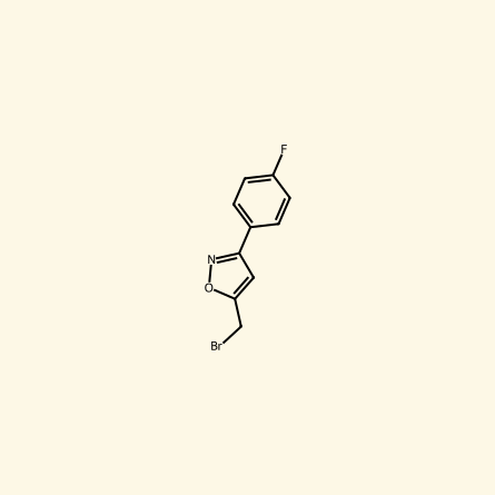 Fc1ccc(-c2cc(CBr)on2)cc1